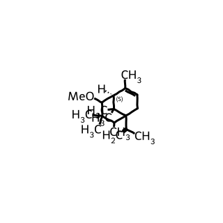 C=C(C)C12CC=C(C)[C@H](C(OC)C(C)(C)C1C)C2(C)C